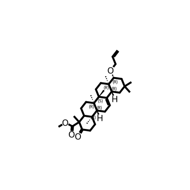 C=CCO[C@@H]1CC(C)(C)C[C@@H]2C3=CC[C@@H]4[C@@]5(C)CCC(=O)C(C)(C(=O)OC)C5CC[C@@]4(C)[C@]3(C)CC[C@]21C